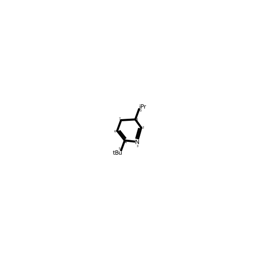 CC(C)C1C=NC(C(C)(C)C)=CC1